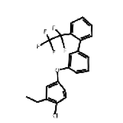 CCc1cc(Oc2cccc(-c3ccccc3C(F)(F)C(F)(F)F)c2)ccc1Cl